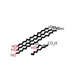 C=CCCCCCCCCC(=O)O.CCCCC(CC)CO.CCCCCCCCCCCCCCCCCCCCCCCCCCCCCCCCO.CCCCCCCCCCCCCCCCCCCCCCCCCCCCCO.CCCCCCCCCCCCCCCCCCCCCCCCCCCO